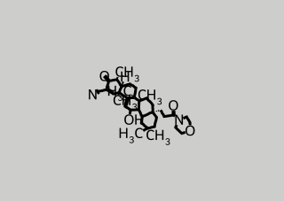 C[C@@H]1C(=O)C(C#N)=C[C@]2(C)C3=CC(O)C4C5CC(C)(C)CC[C@]5(CCC(=O)N5CCOCC5)CC[C@@]4(C)[C@]3(C)CC[C@@H]12